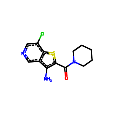 Nc1c(C(=O)N2CCCCC2)sc2c(Cl)cncc12